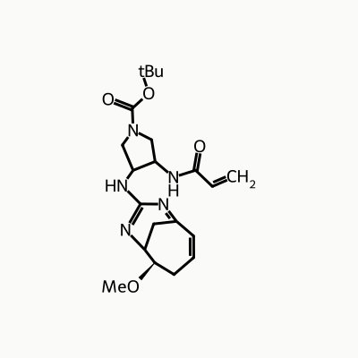 C=CC(=O)NC1CN(C(=O)OC(C)(C)C)CC1NC1=NC2CC(=N1)C=CC[C@H]2OC